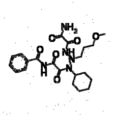 COCCCN(NC(=O)C(N)=O)N(C(=O)C(=O)NC(=O)c1ccccc1)C1CCCCC1